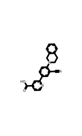 N#Cc1cc(-c2cc(C(=O)O)ccn2)ccc1N1CCc2ccccc2C1